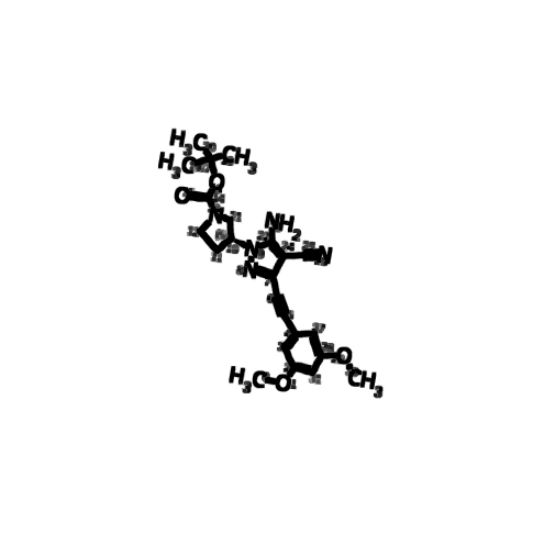 COc1cc(C#Cc2nn([C@H]3CCN(C(=O)OC(C)(C)C)C3)c(N)c2C#N)cc(OC)c1